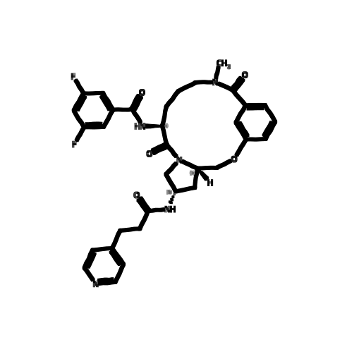 CN1CCC[C@H](NC(=O)c2cc(F)cc(F)c2)C(=O)N2C[C@@H](NC(=O)CCc3ccncc3)C[C@H]2COc2cccc(c2)C1=O